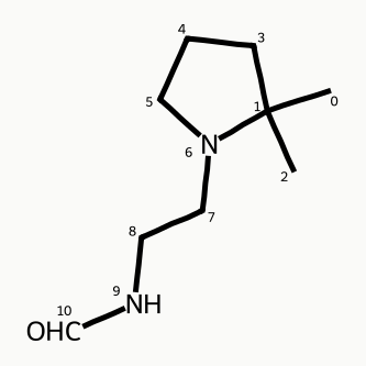 CC1(C)CCCN1CCNC=O